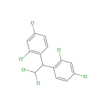 Clc1ccc(C(c2ccc(Cl)cc2Cl)C(Cl)Cl)c(Cl)c1